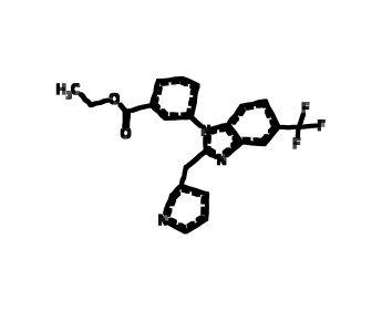 CCOC(=O)c1cccc(-n2c(Cc3cccnc3)nc3cc(C(F)(F)F)ccc32)c1